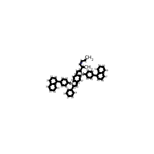 C=C/C=C\C(=C)c1cc2cc3c(cc(-c4ccccc4)n3-c3ccc(-c4cccc5ccccc45)cc3)cc2n1-c1ccc(-c2cccc3ccccc23)cc1